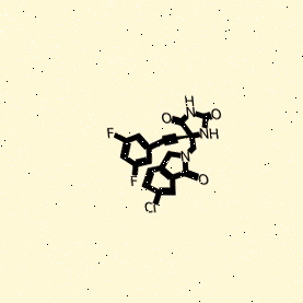 O=C1NC(=O)[C@@](C#Cc2cc(F)cc(F)c2)(CN2Cc3ccc(Cl)cc3C2=O)N1